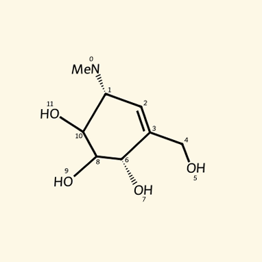 CN[C@@H]1C=C(CO)[C@H](O)C(O)C1O